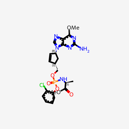 COC(=O)[C@H](C)NP(=O)(OC[C@@H]1C=C[C@H](n2cnc3c(OC)nc(N)nc32)C1)Oc1ccccc1Cl